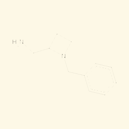 NCC1CCN1Cc1ccccc1